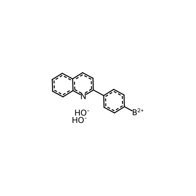 [B+2]c1ccc(-c2ccc3ccccc3n2)cc1.[OH-].[OH-]